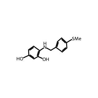 CSc1ccc(CNc2ccc(O)cc2O)cc1